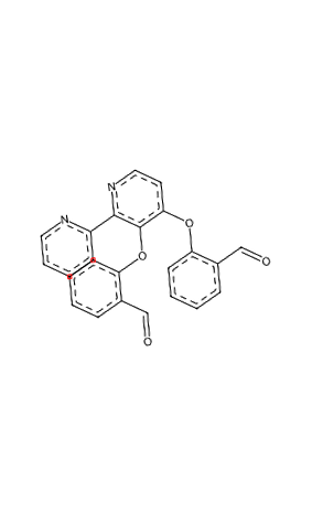 O=Cc1ccccc1Oc1ccnc(-c2ccccn2)c1Oc1ccccc1C=O